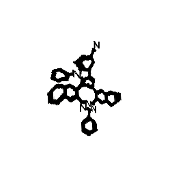 N#Cc1ccc2c(c1)c1cc3cc(c4cc5ccccc5cc4c4nc(-c5ccccc5)nc(n4)c4cc5ccccc5cc34)c1n2-c1ccccc1